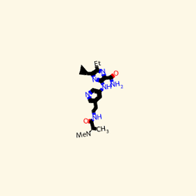 CCc1nc(C(N)=O)c(Nc2cncc(CCNC(=O)[C@H](C)NC)c2)nc1C1CC1